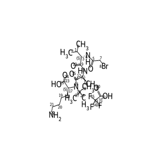 CC(C)[C@H](NC(=O)CBr)C(=O)N[C@@H](C)C(=O)N([C@@H](CCCCN)C(=O)O)C(C)(C)C.O=C(O)C(F)(F)F